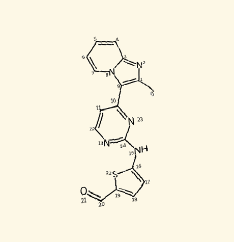 Cc1nc2ccccn2c1-c1ccnc(Nc2ccc(C=O)s2)n1